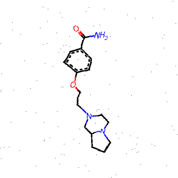 NC(=O)c1ccc(OCCN2CCN3CCCC3C2)cc1